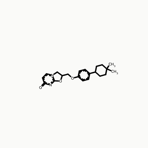 CC1(C)CCC(c2ccc(OCC3Cn4ccc(=O)nc4O3)cc2)CC1